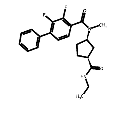 CCNC(=O)[C@H]1CC[C@@H](N(C)C(=O)c2ccc(-c3ccccc3)c(F)c2F)C1